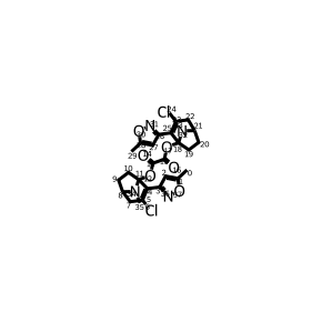 Cc1cc(C2=C(Cl)CC3CCC2(OC(=O)C(=O)OC24CCC(CC(Cl)=C2c2cc(C)on2)N4C)N3C)no1